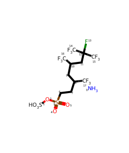 N.O=S(=O)(O)OS(=O)(=O)CCC(CC(CC(F)(C(F)(F)F)C(F)(F)F)C(F)(F)F)C(F)(F)F